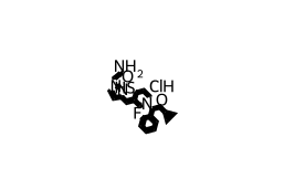 Cl.NC(=O)Cn1ccc(/C=C2/CN(C(C(=O)C3CC3)c3ccccc3F)CCC2S)n1